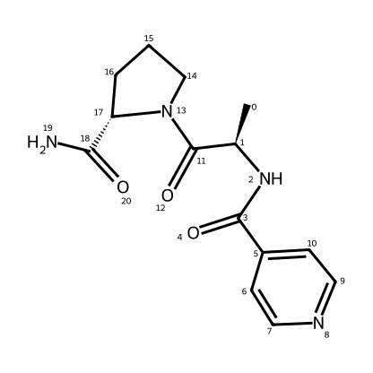 C[C@@H](NC(=O)c1ccncc1)C(=O)N1CCC[C@H]1C(N)=O